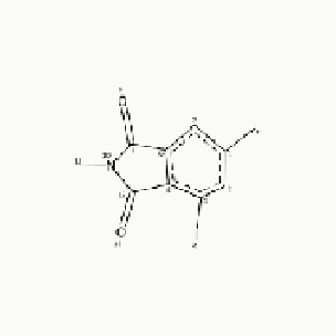 Cc1cc(I)c2c(c1)C(=O)N(C)C2=O